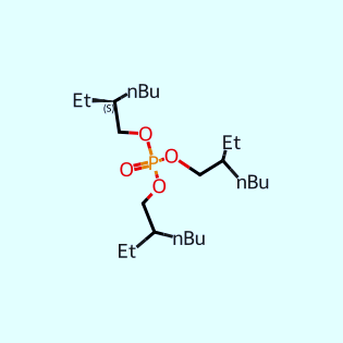 CCCCC(CC)COP(=O)(OCC(CC)CCCC)OC[C@@H](CC)CCCC